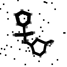 CC(C)N1CCCC(NS(=O)(=O)c2ccccc2)C1